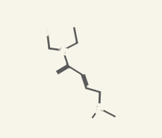 CN(C)C/C=C/C(=O)N(CI)CC(C)(C)C